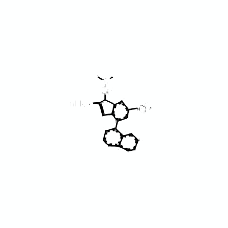 CCCCCCC1=Cc2c(-c3cccc4ccccc34)cc(C(C)C)cc2[CH]1[Zr+2][Si](C)C.[Cl-].[Cl-]